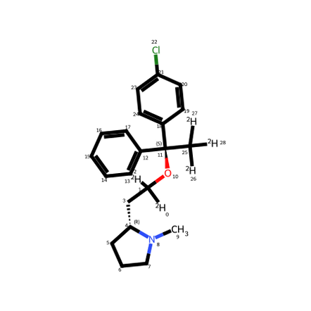 [2H]C([2H])(C[C@H]1CCCN1C)O[C@@](c1ccccc1)(c1ccc(Cl)cc1)C([2H])([2H])[2H]